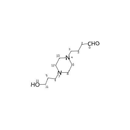 O=CCCCN1CCN(CCCO)CC1